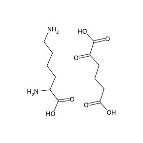 NCCCCC(N)C(=O)O.O=C(O)CCCC(=O)C(=O)O